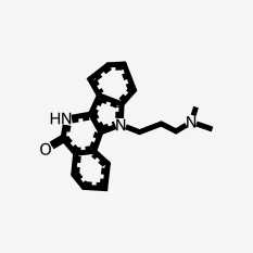 CN(C)CCCn1c2ccccc2c2[nH]c(=O)c3ccccc3c21